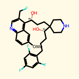 COc1ccc2ncc(CF)c([C@H](O)CCC3([C@@H](O)CCCc4c(F)cc(F)cc4F)CCNCC3)c2c1